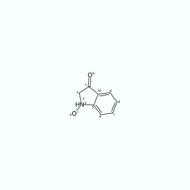 O=C1C[NH+]([O-])c2ccccc21